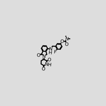 CN(C)C(=O)Oc1ccc(F)c(CNc2cccc3c2CN([C@@H]2CCC(=O)NC2=O)C3=O)c1